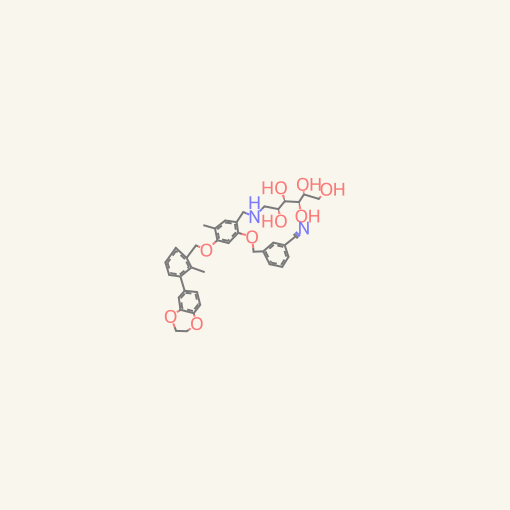 Cc1cc(CNC[C@H](O)[C@@H](O)[C@H](O)[C@H](O)CO)c(OCc2cccc(C#N)c2)cc1OCc1cccc(-c2ccc3c(c2)OCCO3)c1C